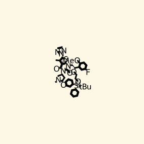 COc1ccc(F)cc1[C@H](Cn1c(=O)n(C2CC(=O)N(C)C2)c(=O)c2c(C)c(-n3nccn3)sc21)OCCO[Si](c1ccccc1)(c1ccccc1)C(C)(C)C